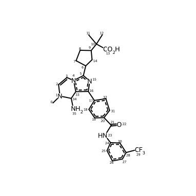 CN1C=Cn2c(C3CCC(C(C)(C)C(=O)O)C3)nc(-c3ccc(C(=O)Nc4cccc(C(F)(F)F)c4)cc3)c2C1N